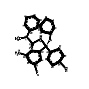 CN(C(=O)N[C@](Cc1ccccc1)(c1cc(F)cc(C(F)(F)F)c1)c1ccc(Cl)cn1)c1ccccc1